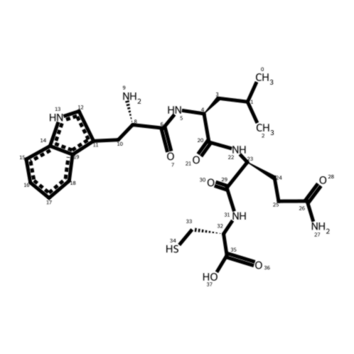 CC(C)C[C@H](NC(=O)[C@@H](N)Cc1c[nH]c2ccccc12)C(=O)N[C@@H](CCC(N)=O)C(=O)N[C@@H](CS)C(=O)O